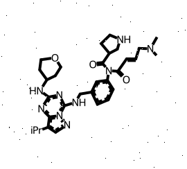 CC(C)c1cnn2c(NCc3cccc(N(C(=O)C=CCN(C)C)C(=O)C4CCNC4)c3)nc(NC3CCOCC3)nc12